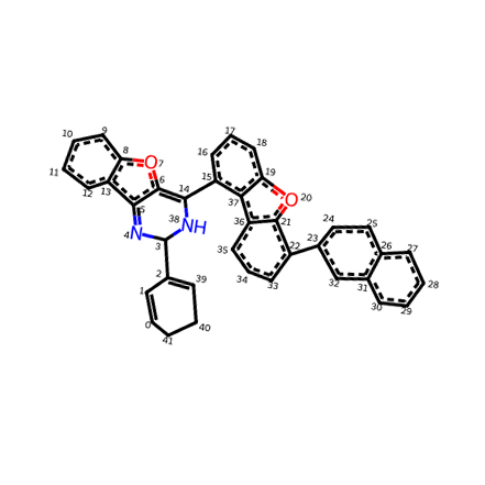 C1=CC(C2N=c3c(oc4ccccc34)=C(c3cccc4oc5c(-c6ccc7ccccc7c6)cccc5c34)N2)=CCC1